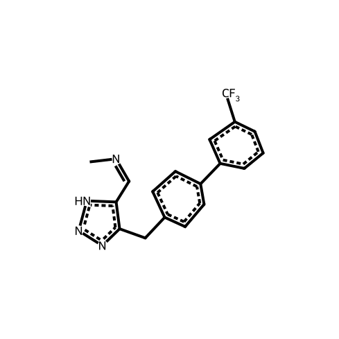 C/N=C\c1[nH]nnc1Cc1ccc(-c2cccc(C(F)(F)F)c2)cc1